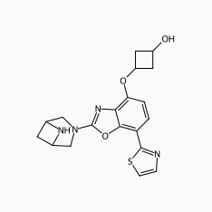 OC1CC(Oc2ccc(-c3nccs3)c3oc(N4CC5CC(C4)N5)nc23)C1